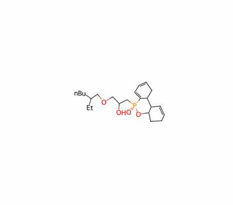 CCCCC(CC)COCC(O)CP1(=O)OC2CCC=CC2C2CC=CC=C21